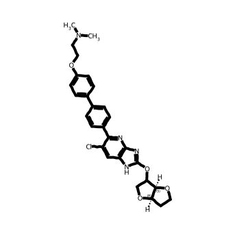 CN(C)CCOc1ccc(-c2ccc(-c3nc4nc(OC5CO[C@@H]6CCO[C@H]56)[nH]c4cc3Cl)cc2)cc1